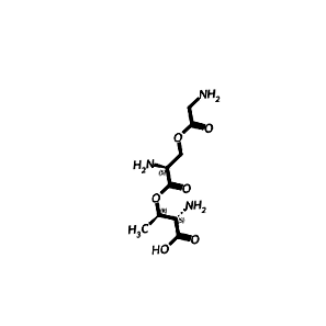 C[C@@H](OC(=O)[C@@H](N)COC(=O)CN)[C@H](N)C(=O)O